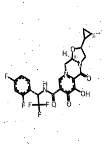 C[C@H]1CC1C1CN2C(=O)c3c(O)c(=O)c(C(=O)NC(c4ccc(F)cc4F)C(F)(F)F)cn3C[C@H]2O1